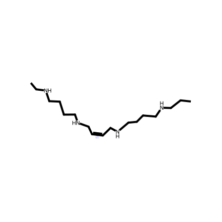 CCCNCCCCNC/C=C\CNCCCCNCC